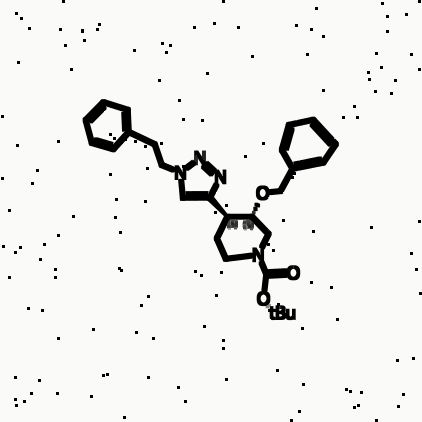 CC(C)(C)OC(=O)N1CC[C@@H](c2cn(CCc3ccccc3)nn2)[C@H](OCc2ccccc2)C1